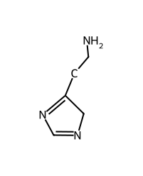 NCCC1=NC=NC1